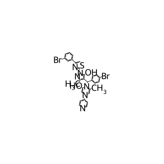 CC1=CN(c2ccncc2)C=C(O)N1C(c1ccc(Br)cc1)c1c(C)nn(-c2nc(-c3cccc(Br)c3)cs2)c1O